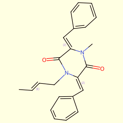 C/C=C/Cn1c(=O)/c(=C/c2ccccc2)n(C)c(=O)/c1=C/c1ccccc1